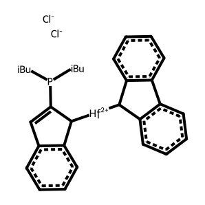 CCC(C)P(C1=Cc2ccccc2[CH]1[Hf+2][CH]1c2ccccc2-c2ccccc21)C(C)CC.[Cl-].[Cl-]